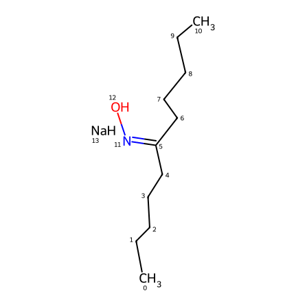 CCCCCC(CCCCC)=NO.[NaH]